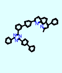 Cc1cc(-c2ccccc2)c2ccc3ccc(-c4ccc(-c5cccc(-c6nc(-c7ccccc7)nc(-c7ccc(-c8ccccc8)cc7)n6)c5)cc4)nc3c2n1